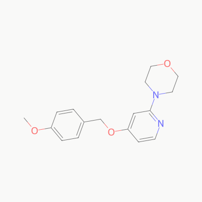 COc1ccc(COc2ccnc(N3CCOCC3)c2)cc1